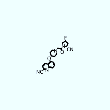 N#Cc1ccc2c(OC3CCN(CC(=O)N4C[C@@H](F)C[C@H]4C#N)CC3)cccc2n1